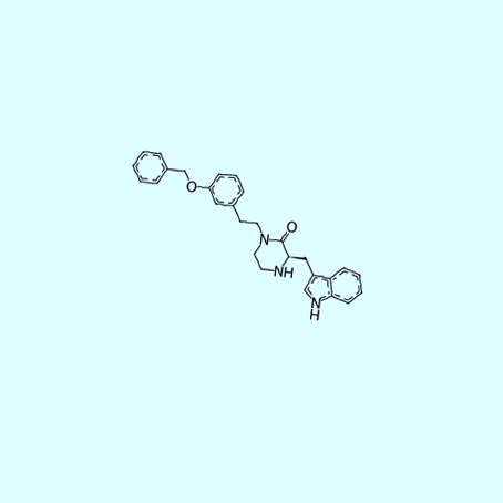 O=C1[C@@H](Cc2c[nH]c3ccccc23)NCCN1CCc1cccc(OCc2ccccc2)c1